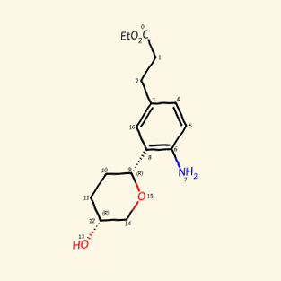 CCOC(=O)CCc1ccc(N)c([C@H]2CC[C@@H](O)CO2)c1